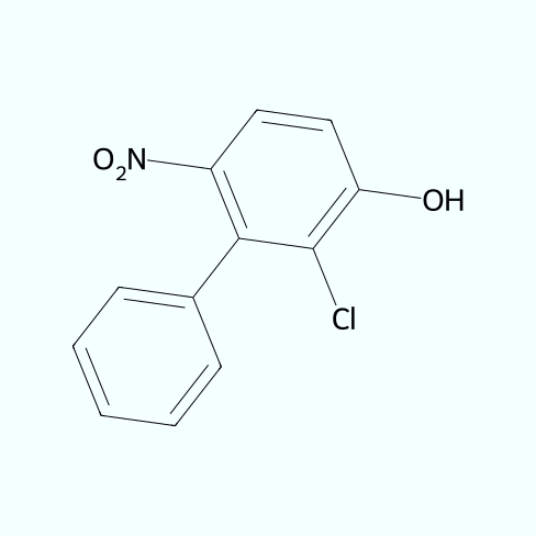 O=[N+]([O-])c1ccc(O)c(Cl)c1-c1ccccc1